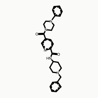 O=C(NC1CCN(Cc2ccccc2)CC1)c1ccc(C(=O)N2CCN(c3ccccc3)CC2)cn1